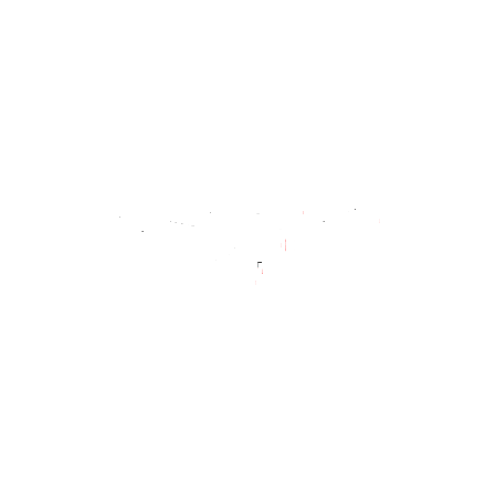 C=CC(=O)O.CCCCCCCCCOCCOC